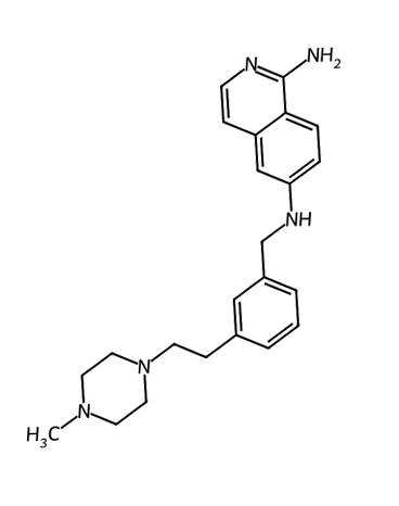 CN1CCN(CCc2cccc(CNc3ccc4c(N)nccc4c3)c2)CC1